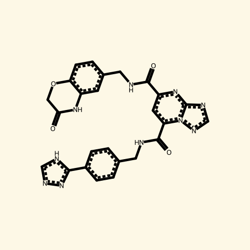 O=C1COc2ccc(CNC(=O)c3cc(C(=O)NCc4ccc(-c5nnc[nH]5)cc4)n4ncnc4n3)cc2N1